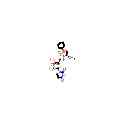 C[C@@H](C=O)NP(=O)(OC[C@@H](O[C@H](C)n1ccc(=O)[nH]c1=O)[C@@H](O)Cl)Oc1ccccc1